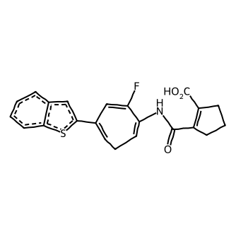 O=C(O)C1=C(C(=O)NC2=CCC=C(c3cc4ccccc4s3)C=C2F)CCC1